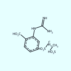 CS(=O)(=O)O.CS(=O)(=O)O.N=C(N)Nc1ccccc1C(=O)O